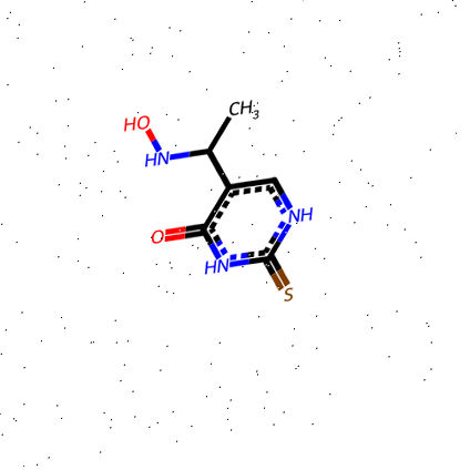 CC(NO)c1c[nH]c(=S)[nH]c1=O